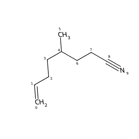 C=CCCC(C)CCC#N